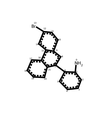 Nc1ccccc1-c1cc2ccc(Br)cc2c2ccccc12